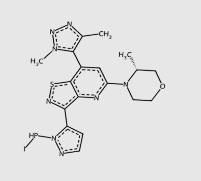 Cc1nnn(C)c1-c1cc(N2CCOC[C@H]2C)nc2c(-c3ccnn3PI)nsc12